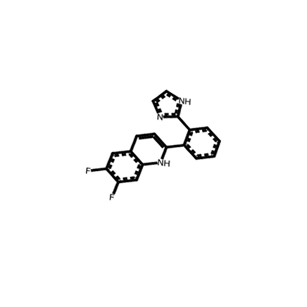 Fc1cc2c(cc1F)NC(c1ccccc1-c1ncc[nH]1)=C=C2